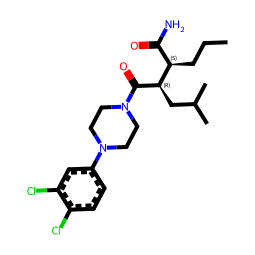 CCC[C@H](C(N)=O)[C@@H](CC(C)C)C(=O)N1CCN(c2ccc(Cl)c(Cl)c2)CC1